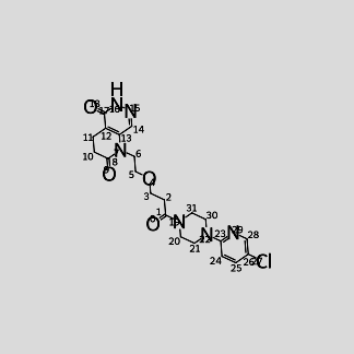 O=C(CCOCCN1C(=O)CCc2c1cn[nH]c2=O)N1CCN(c2ccc(Cl)cn2)CC1